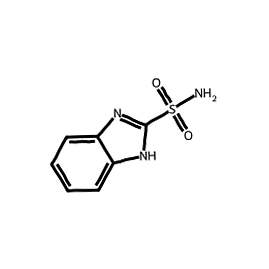 NS(=O)(=O)c1nc2ccccc2[nH]1